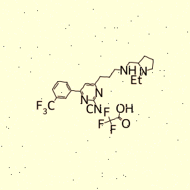 CCN1CCCC1CNCCCc1cc(-c2cccc(C(F)(F)F)c2)nc(C#N)n1.O=C(O)C(F)(F)F